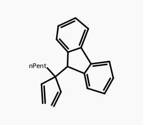 C=CC(C=C)(CCCCC)C1c2ccccc2-c2ccccc21